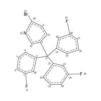 Fc1cccc(C(c2ccc(Br)nc2)(c2cccc(F)c2)c2cccc(F)c2)c1